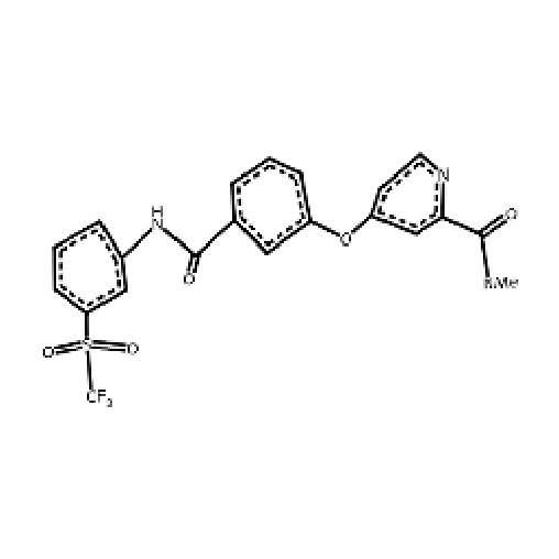 CNC(=O)c1cc(Oc2cccc(C(=O)Nc3cccc(S(=O)(=O)C(F)(F)F)c3)c2)ccn1